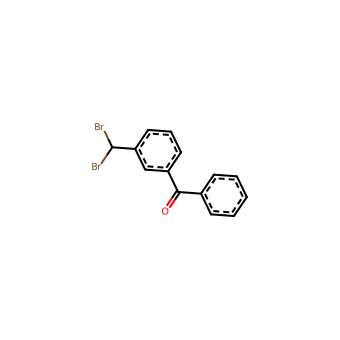 O=C(c1ccccc1)c1cccc(C(Br)Br)c1